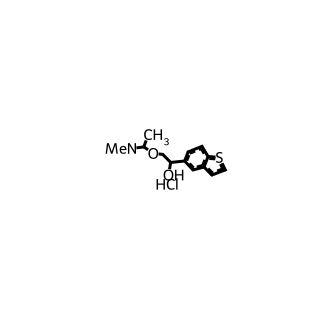 CNC(C)OCC(O)c1ccc2sccc2c1.Cl